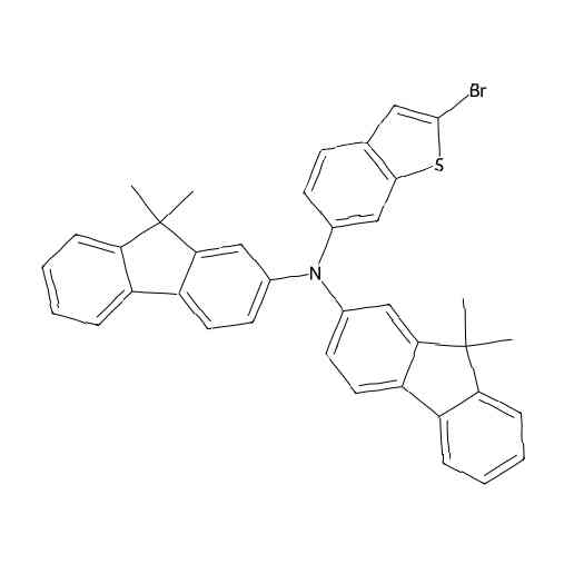 CC1(C)c2ccccc2-c2ccc(N(c3ccc4c(c3)C(C)(C)c3ccccc3-4)c3ccc4cc(Br)sc4c3)cc21